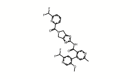 COc1cnc(C(F)F)cc1-c1cc(C)ncc1C(=O)Nc1nc2c(s1)CN(C(=O)c1cccc(C(F)F)n1)C2